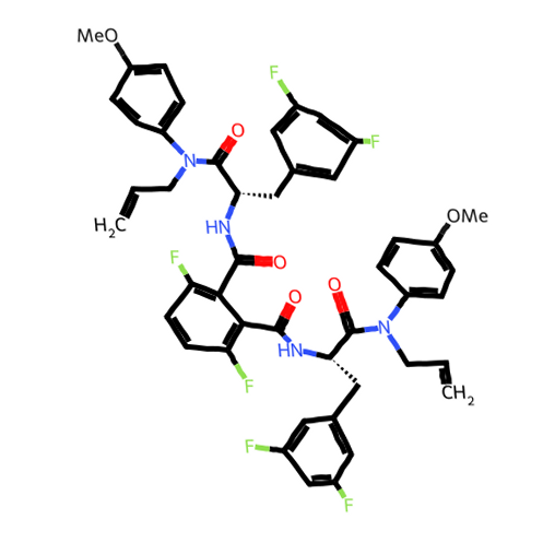 C=CCN(C(=O)[C@H](Cc1cc(F)cc(F)c1)NC(=O)c1c(F)ccc(F)c1C(=O)N[C@@H](Cc1cc(F)cc(F)c1)C(=O)N(CC=C)c1ccc(OC)cc1)c1ccc(OC)cc1